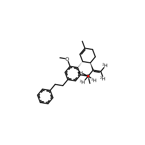 [2H]C([2H])=C([C@@H]1CCC(C)=C[C@H]1c1c(OC)cc(CCc2ccccc2)cc1OC)C([2H])([2H])[2H]